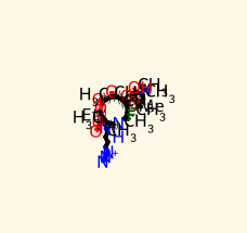 CC[C@H]1OC(=O)[C@H](C)C(=O)[C@H](C)[C@@H](O[C@@H]2OC(C)CC(N(C)C)C2O)[C@](C)(OC)CC(C)(F)CN[C@H](C)[C@H]2N(CCCCN=[N+]=[N-])C(=O)O[C@]12C